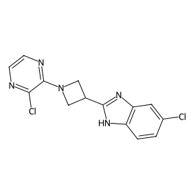 Clc1ccc2[nH]c(C3CN(c4nccnc4Cl)C3)nc2c1